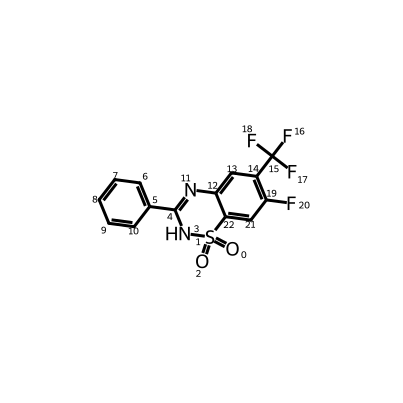 O=S1(=O)NC(c2ccccc2)=Nc2cc(C(F)(F)F)c(F)cc21